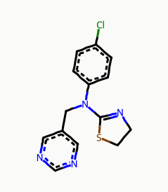 Clc1ccc(N(Cc2cncnc2)C2=NCCS2)cc1